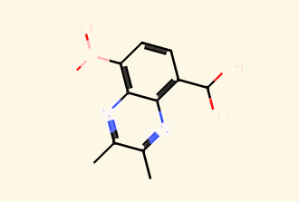 Cc1nc2c(B(O)O)ccc(C(O)O)c2nc1C